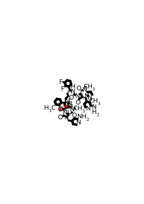 CC[C@@H](NC(=O)N1C(=O)[C@H](Cc2ccnc(N)c2)[C@H]1C(=O)N(C)c1ccn(CCC[C@@H](NC(=O)N2C(=O)[C@H](Cc3ccnc(N)c3)[C@H]2C(=O)N(C)c2ccn(C)n2)c2cccc(F)c2F)n1)c1cccc(C)c1C